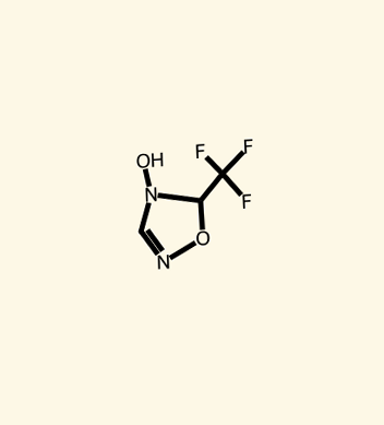 ON1C=NOC1C(F)(F)F